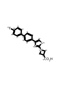 O=C(O)C1CN(c2nc(-c3ccc(-c4ccc(F)cc4)cc3)cs2)C1